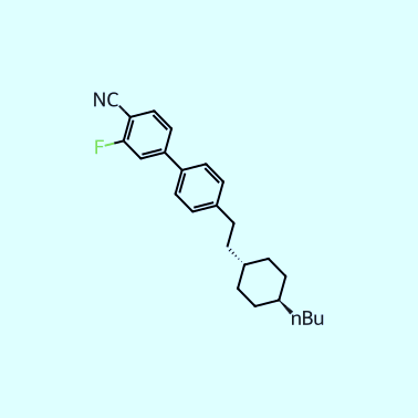 CCCC[C@H]1CC[C@H](CCc2ccc(-c3ccc(C#N)c(F)c3)cc2)CC1